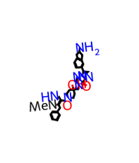 CN/C(Cc1ccccc1)=C(\C=N)C(=O)N1CCC(O)(Cn2cnn3c(-c4ccc5c(c4)CC(N)C5)cnc3c2=O)CC1